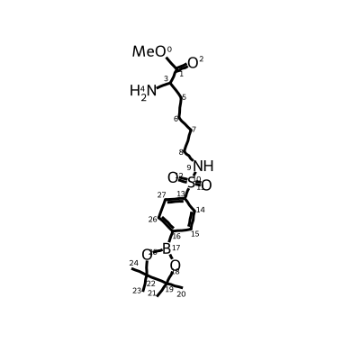 COC(=O)C(N)CCCCNS(=O)(=O)c1ccc(B2OC(C)(C)C(C)(C)O2)cc1